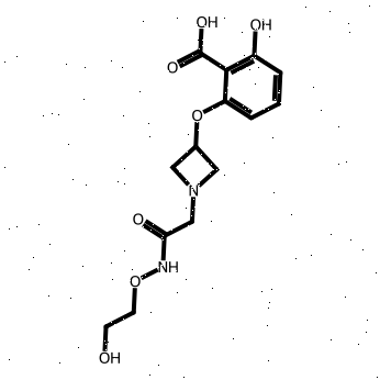 O=C(CN1CC(Oc2cccc(O)c2C(=O)O)C1)NOCCO